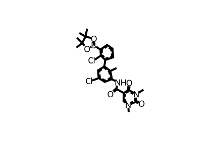 Cc1c(NC(=O)c2cn(C)c(=O)n(C)c2=O)cc(Cl)cc1-c1cccc(B2OC(C)(C)C(C)(C)O2)c1Cl